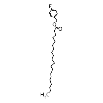 CCCCCCCCCCCCCCCCCCCC(=O)OCc1ccc(F)cc1